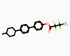 CC1CCC(c2ccc(-c3ccc(OC(=O)C(F)(F)C(F)(F)C(F)(F)F)cc3)cc2)CC1